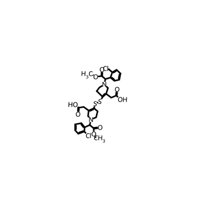 COC(=O)C(c1ccccc1Cl)N1CCC(SSC2=C(CC(=O)O)CN(C(C(=O)OC)c3ccccc3Cl)CC2)=C(CC(=O)O)C1